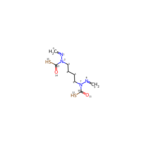 C=NN(CCCCN(N=C)C(=O)S)C(=O)S